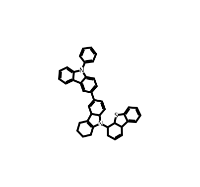 C1=CC2c3ccccc3SC2C(N2C3=C(CCCC3)C3C=C(c4ccc5c(c4)c4ccccc4n5-c4ccccc4)C=CC32)C1